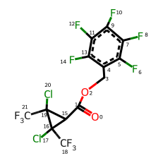 O=C(OCc1c(F)c(F)c(F)c(F)c1F)C1C(Cl)(C(F)(F)F)C1(Cl)C(F)(F)F